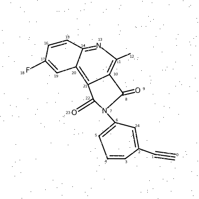 C#Cc1cccc(N2C(=O)c3c(C)nc4ccc(F)cc4c3C2=O)c1